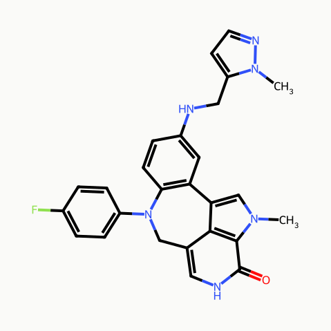 Cn1nccc1CNc1ccc2c(c1)-c1cn(C)c3c(=O)[nH]cc(c13)CN2c1ccc(F)cc1